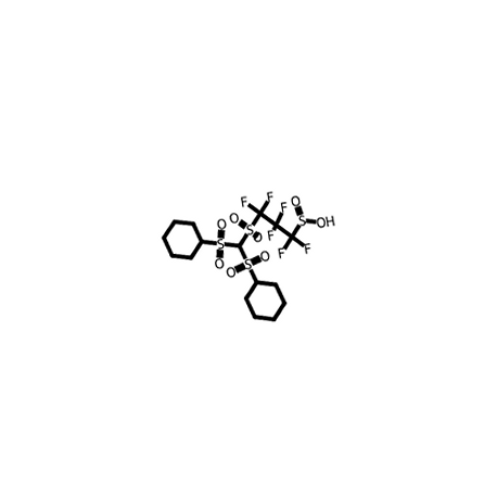 O=S(O)C(F)(F)C(F)(F)C(F)(F)S(=O)(=O)C(S(=O)(=O)C1CCCCC1)S(=O)(=O)C1CCCCC1